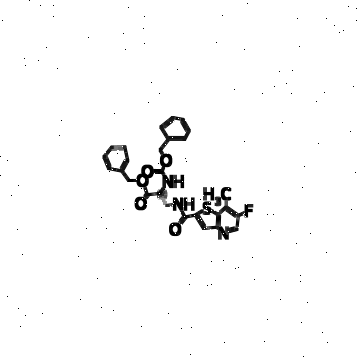 Cc1c(F)cnc2cc(C(=O)NC[C@@H](NC(=O)OCc3ccccc3)C(=O)OCc3ccccc3)sc12